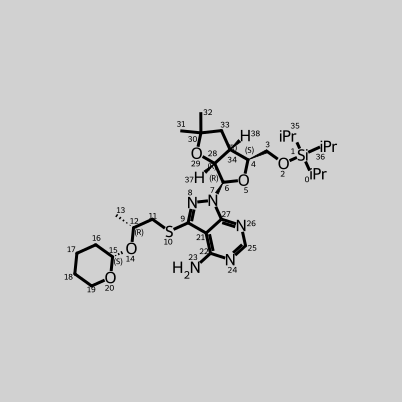 CC(C)[Si](OC[C@H]1O[C@@H](n2nc(SC[C@@H](C)O[C@H]3CCCCO3)c3c(N)ncnc32)[C@@H]2OC(C)(C)C[C@@H]21)(C(C)C)C(C)C